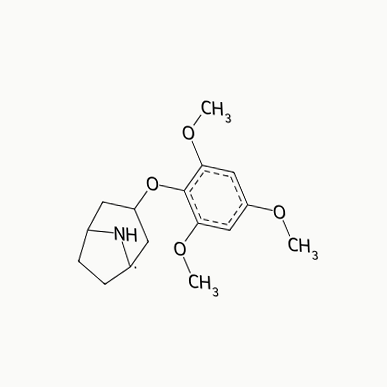 COc1cc(OC)c(OC2C[C]3CCC(C2)N3)c(OC)c1